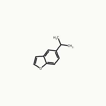 CC(C)c1ccc2o[c]cc2c1